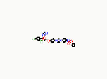 O=C(Nc1ccc(N2CCN(c3ccc(OC[C@@H]4CO[C@@](Cn5ccnc5)(c5ccc(Cl)cc5Cl)O4)cc3)CC2)cc1)Oc1ccccc1